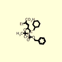 CCC(=CC1OC(C)(C)N(C(=O)OCc2ccccc2)[C@H]1CC1CCCCC1)C(=O)O